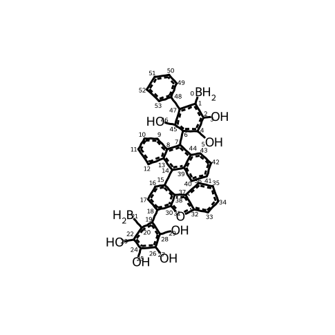 Bc1c(O)c(O)c(-c2c3ccccc3c(-c3ccc(-c4c(B)c(O)c(O)c(O)c4O)c4oc5ccccc5c34)c3ccccc23)c(O)c1-c1ccccc1